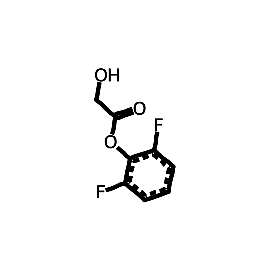 O=C(CO)Oc1c(F)cccc1F